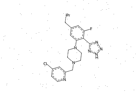 CC(C)Cc1cc(F)c(-c2nn[nH]n2)c(N2CCN(Cc3cc(Cl)ccn3)CC2)c1